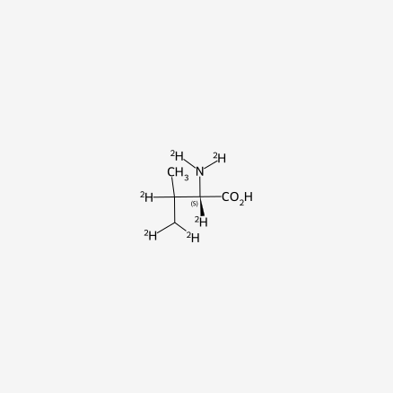 [2H]C([2H])C([2H])(C)[C@@]([2H])(C(=O)O)N([2H])[2H]